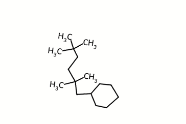 CC(C)(C)CCC(C)(C)CC1CCCCC1